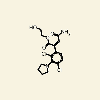 NC(=O)C=C(C(=O)OCCO)c1ccc(Cl)c(N2CCCC2)c1Cl